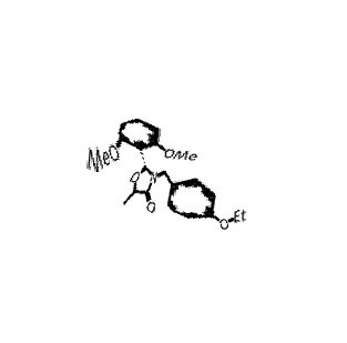 CCOc1ccc(CN2C(=O)C(C)O[C@@H]2c2c(OC)cccc2OC)cc1